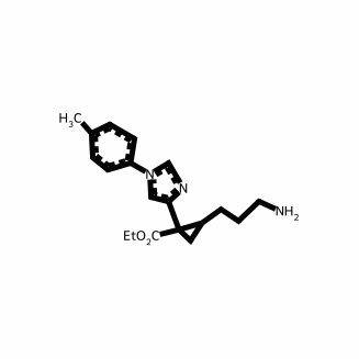 CCOC(=O)C1(c2cn(-c3ccc(C)cc3)cn2)CC1CCCN